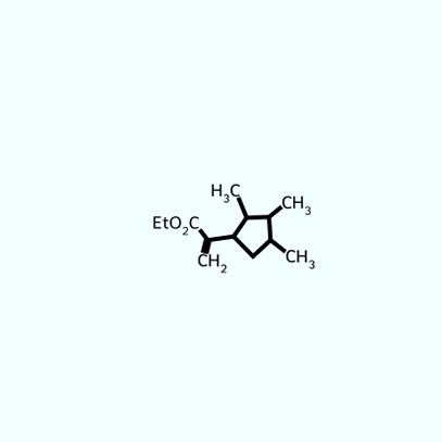 C=C(C(=O)OCC)C1CC(C)C(C)C1C